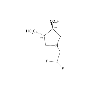 O=C(O)[C@H]1CN(CC(F)F)C[C@@H]1C(=O)O